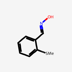 CSc1ccccc1/C=N/O